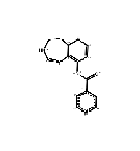 O=C(NC1=C2C=CNCCC2CC=C1)c1ccccc1